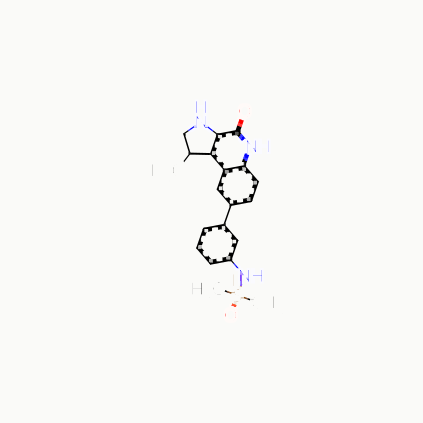 CC1CNc2c1c1cc(-c3cccc(N[SH](C)(C)=O)c3)ccc1[nH]c2=O